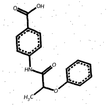 CC(Oc1ccccc1)C(=O)Nc1ccc(C(=O)O)cc1